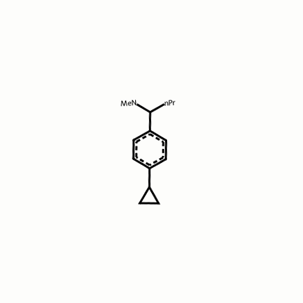 CCCC(NC)c1ccc(C2CC2)cc1